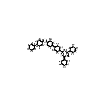 c1ccc(-c2ccc(Oc3ccc(-c4ccc(-c5nc(-c6ccccc6)nc(-c6ccccc6)n5)cc4)cc3)cc2)cc1